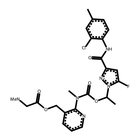 CNCC(=O)OCc1cccnc1N(C)C(=O)OC(C)n1nc(C(=O)Nc2ccc(C)cc2Cl)cc1F